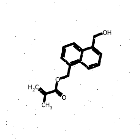 C=C(C)C(=O)OCc1cccc2c(CO)cccc12